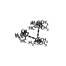 C#CC1C(C#CC#CC2C(C#CC#CC3C(C#C)N(C)P(=S)(N(C)C)N3C)SP(=S)(N(C)C)N2C)OP(=S)(N(C)C)N1C